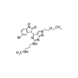 CCOCCn1cc2c(C3C(=O)Nc4ccc(Br)cc43)nc(NCCCNC)nc2n1